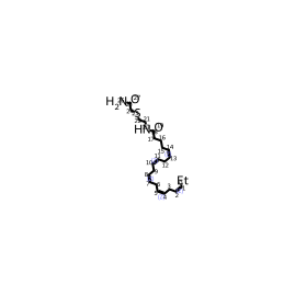 CC/C=C\C/C=C\C/C=C\C/C=C\C/C=C\CCCC(=O)NCCSCC(N)=O